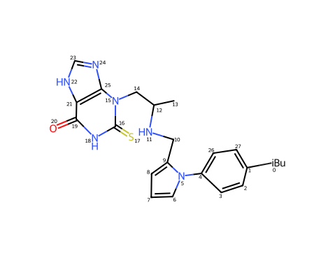 CCC(C)c1ccc(-n2cccc2CNC(C)Cn2c(=S)[nH]c(=O)c3[nH]cnc32)cc1